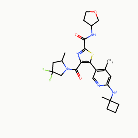 CC1CC(F)(F)CN1C(=O)c1nc(C(=O)NC2CCOC2)sc1-c1cnc(NC2(C)CCC2)cc1C(F)(F)F